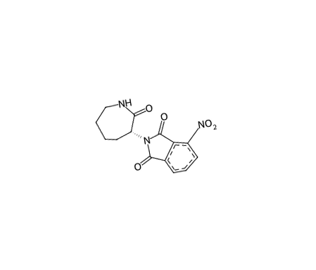 O=C1NCCCC[C@H]1N1C(=O)c2cccc([N+](=O)[O-])c2C1=O